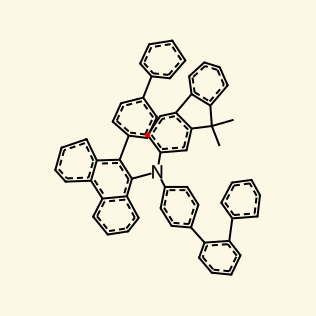 CC1(C)c2ccccc2-c2ccc(N(c3ccc(-c4ccccc4-c4ccccc4)cc3)c3c(-c4ccc(-c5ccccc5)cc4)c4ccccc4c4ccccc34)cc21